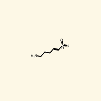 NCCCC=C[SH](=O)=O